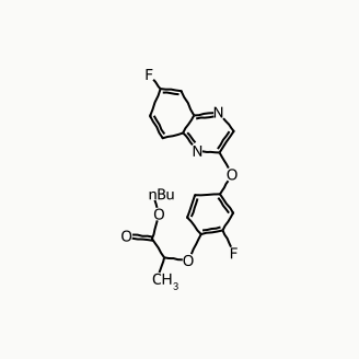 CCCCOC(=O)C(C)Oc1ccc(Oc2cnc3cc(F)ccc3n2)cc1F